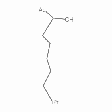 CC(=O)C(O)CCCCCC(C)C